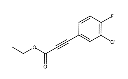 CCOC(=O)C#Cc1ccc(F)c(Cl)c1